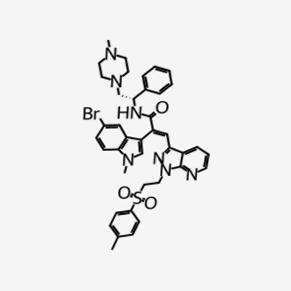 Cc1ccc(S(=O)(=O)CCn2nc(C=C(C(=O)N[C@H](CN3CCN(C)CC3)c3ccccc3)c3cn(C)c4ccc(Br)cc34)c3cccnc32)cc1